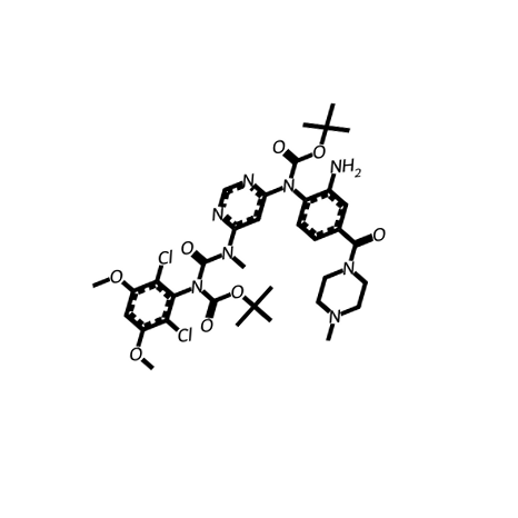 COc1cc(OC)c(Cl)c(N(C(=O)OC(C)(C)C)C(=O)N(C)c2cc(N(C(=O)OC(C)(C)C)c3ccc(C(=O)N4CCN(C)CC4)cc3N)ncn2)c1Cl